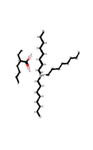 CCCCC(CC)C(=O)[O-].CCCCCCC[CH2][Sn+]([CH2]CCCCCCC)[CH2]CCCCCCC